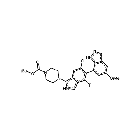 COc1cc(-c2c(Cl)cc3c(N4CCN(C(=O)OC(C)(C)C)CC4)[nH]cc3c2F)c2[nH]ncc2c1